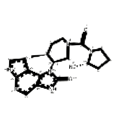 C[C@H]1CCN(C(=O)N2CCC[C@@H]2C#N)C[C@H]1n1c(=O)[nH]c2cnc3[nH]ccc3c21